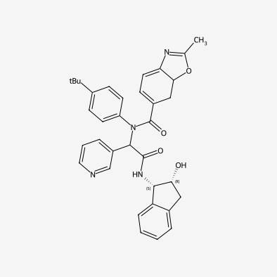 CC1=NC2=CC=C(C(=O)N(c3ccc(C(C)(C)C)cc3)C(C(=O)N[C@H]3c4ccccc4C[C@H]3O)c3cccnc3)CC2O1